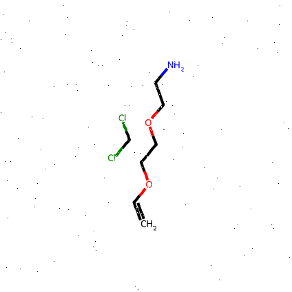 C=COCCOCCN.ClCCl